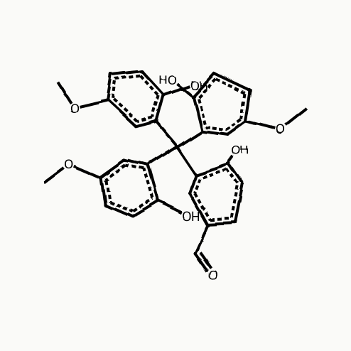 COc1ccc(O)c(C(c2cc(C=O)ccc2O)(c2cc(OC)ccc2O)c2cc(OC)ccc2O)c1